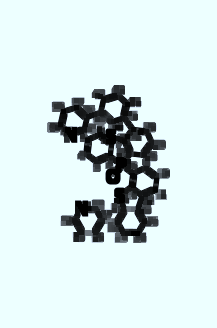 O=P(c1ccccc1)(c1cccc2c1sc1c(-c3cccnc3)cccc12)c1cccc2c1sc1c(-c3cccnc3)cccc12